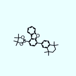 CC1(C)CCC(C)(C)c2cc(-c3ccc(B4OC(C)(C)C(C)(C)O4)c4c3oc3ccccc34)ccc21